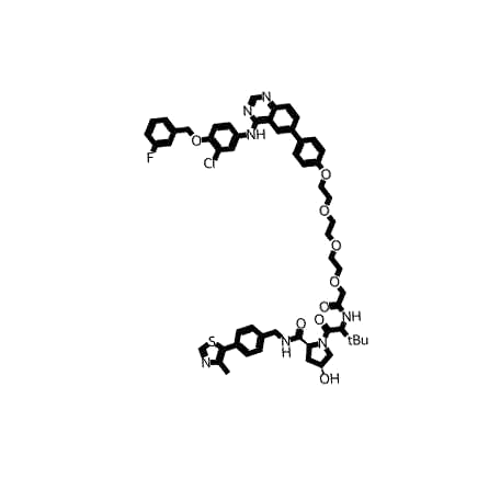 Cc1ncsc1-c1ccc(CNC(=O)[C@@H]2C[C@@H](O)CN2C(=O)C(NC(=O)COCCOCCOCCOc2ccc(-c3ccc4ncnc(Nc5ccc(OCc6cccc(F)c6)c(Cl)c5)c4c3)cc2)C(C)(C)C)cc1